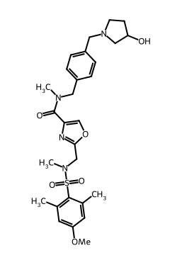 COc1cc(C)c(S(=O)(=O)N(C)Cc2nc(C(=O)N(C)Cc3ccc(CN4CCC(O)C4)cc3)co2)c(C)c1